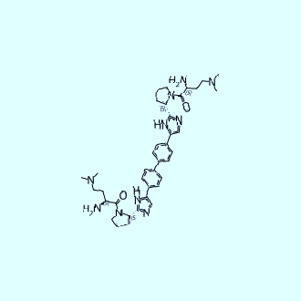 CN(C)CC[C@H](N)C(=O)N1CCC[C@H]1c1ncc(-c2ccc(-c3ccc(-c4cnc([C@@H]5CCCN5C(=O)[C@@H](N)CCN(C)C)[nH]4)cc3)cc2)[nH]1